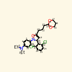 CCN(CC)c1ccc(N2OC(CCCC3OCCCO3)=CC2c2c(Cl)cccc2Cl)cc1